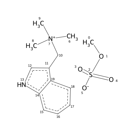 COS(=O)(=O)[O-].C[N+](C)(C)Cc1c[nH]c2ccccc12